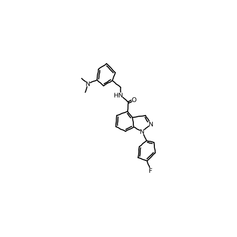 CN(C)c1cccc(CNC(=O)c2cccc3c2cnn3-c2ccc(F)cc2)c1